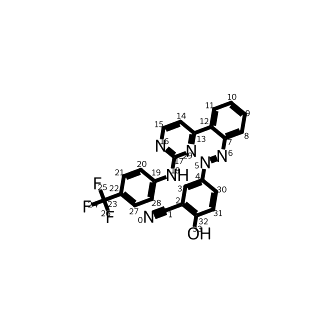 N#Cc1cc(/N=N/c2ccccc2-c2ccnc(Nc3ccc(C(F)(F)F)cc3)n2)ccc1O